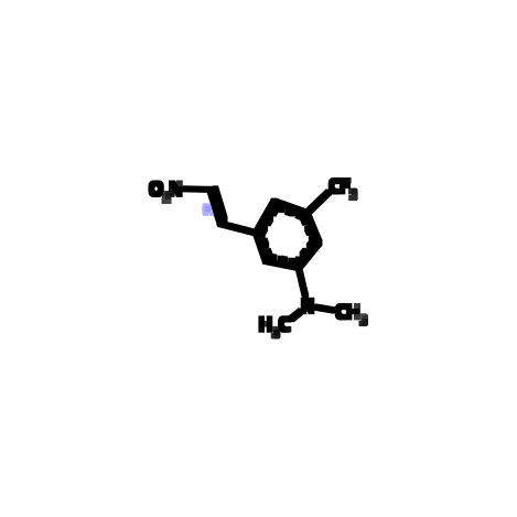 CN(C)c1cc(/C=C/[N+](=O)[O-])cc(C(F)(F)F)c1